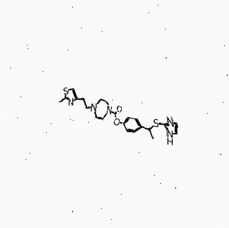 Cc1nc(CCN2CCN(C(=O)Oc3ccc(C(C)Sc4ncc[nH]4)cc3)CC2)cs1